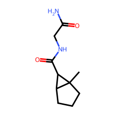 CC12CCCC1C2C(=O)NCC(N)=O